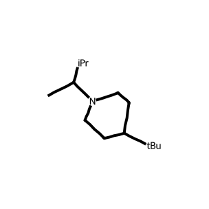 CC(C)C(C)N1CCC(C(C)(C)C)CC1